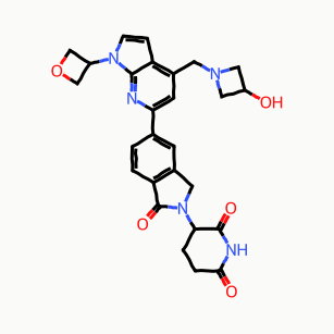 O=C1CCC(N2Cc3cc(-c4cc(CN5CC(O)C5)c5ccn(C6COC6)c5n4)ccc3C2=O)C(=O)N1